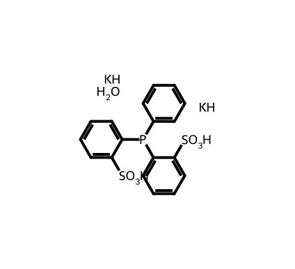 O.O=S(=O)(O)c1ccccc1P(c1ccccc1)c1ccccc1S(=O)(=O)O.[KH].[KH]